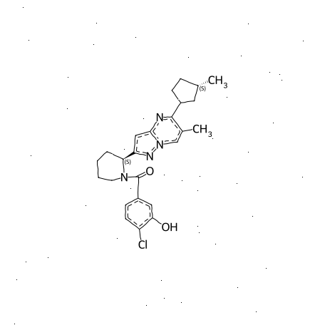 Cc1cn2nc([C@@H]3CCCCN3C(=O)c3ccc(Cl)c(O)c3)cc2nc1C1CC[C@H](C)C1